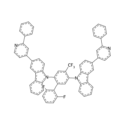 Fc1cccc(F)c1-c1cc(-n2c3ccccc3c3cc(-c4ccnc(-c5ccccc5)c4)ccc32)c(C(F)(F)F)cc1-n1c2ccccc2c2cc(-c3ccnc(-c4ccccc4)c3)ccc21